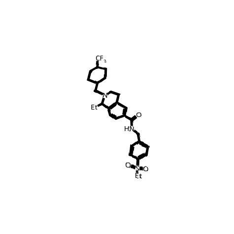 CCC1c2ccc(C(=O)NCc3ccc(S(=O)(=O)CC)cc3)cc2CCN1CC1CCC(C(F)(F)F)CC1